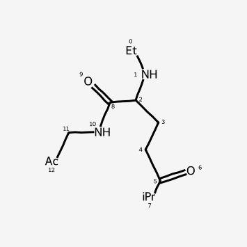 CCNC(CCC(=O)C(C)C)C(=O)NCC(C)=O